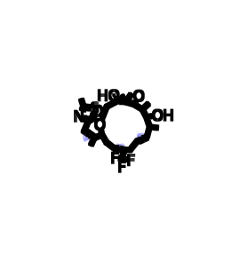 C/C(=C/c1csc(C)n1)C1C/C=C(/C(F)(F)F)C/C=C/C(C)C(O)C(C)C(=O)C(C)(C)[C@@H](O)CC(=O)O1